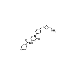 NCC1CN(Cc2ccc(-n3ccc(NC(=O)N4CCNCC4)nc3=O)cc2)C1